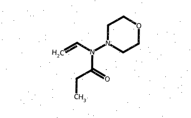 C=CN(C(=O)CC)N1CCOCC1